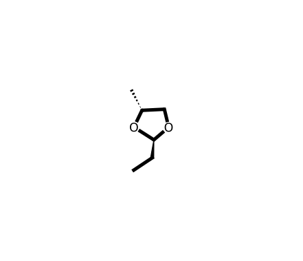 CC[C@@H]1OC[C@@H](C)O1